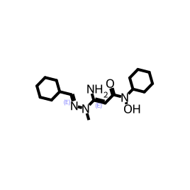 CN(/N=C/C1CCCCC1)/C(N)=C/C(=O)N(O)C1CCCCC1